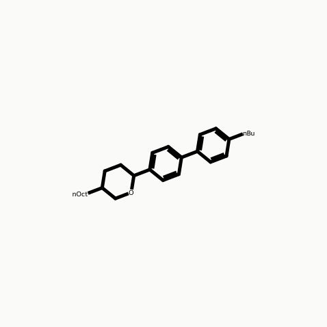 CCCCCCCCC1CCC(c2ccc(-c3ccc(CCCC)cc3)cc2)OC1